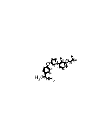 C[C@H](N)c1ccc(O[C@@H]2CCN(c3ccnc(OCC(F)F)c3F)C2)cc1